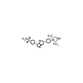 C[C@@H]1CNC[C@H](C)N1c1ccc(-c2cnc3c(-c4ccc(S(N)(=O)=O)cc4)cnn3c2)cc1